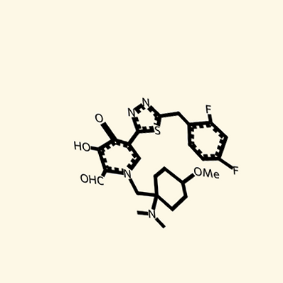 COC1CCC(Cn2cc(-c3nnc(Cc4ccc(F)cc4F)s3)c(=O)c(O)c2C=O)(N(C)C)CC1